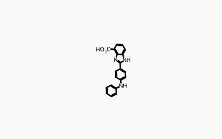 O=C(O)c1cccc2[nH]c(-c3ccc(Nc4ccccc4)cc3)nc12